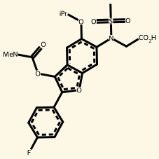 CNC(=O)Oc1c(-c2ccc(F)cc2)oc2cc(N(CC(=O)O)S(C)(=O)=O)c(OC(C)C)cc12